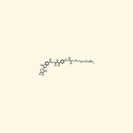 NCOCCOCCOCCNC(=O)COc1ccc(NC(=O)NCCNc2ccc3c(c2)CN(C2CCC(=O)NC2=O)C3=O)cc1